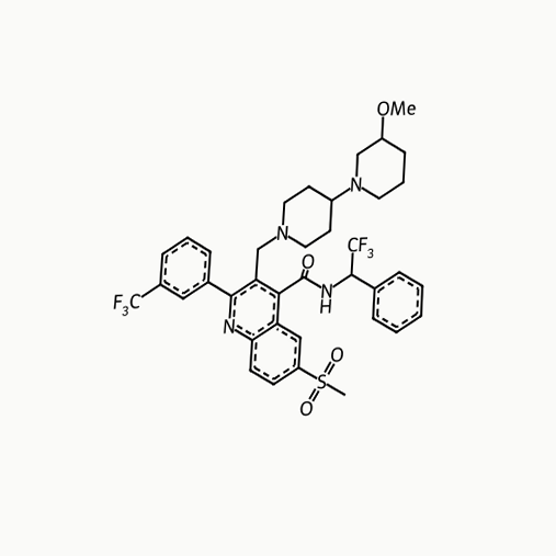 COC1CCCN(C2CCN(Cc3c(-c4cccc(C(F)(F)F)c4)nc4ccc(S(C)(=O)=O)cc4c3C(=O)NC(c3ccccc3)C(F)(F)F)CC2)C1